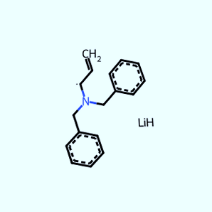 C=C[CH]N(Cc1ccccc1)Cc1ccccc1.[LiH]